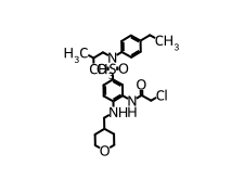 CCc1ccc(N(CC(C)C)S(=O)(=O)c2ccc(NCC3CCOCC3)c(NC(=O)CCl)c2)cc1